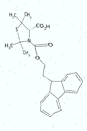 CC1(C)SC(C)(C)N(C(=O)OCCC2c3ccccc3-c3ccccc32)[C@H]1C(=O)O